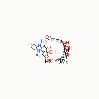 CO[C@H]1/C=C/O[C@@H](C)Oc2c(C)c(O)c3c(=O)c(c4n(C)c5cc(C)ccc5nc-4c3c2C(C)=O)NC(=O)/C(C)=C\C=C\[C@H](C)[C@H](O)[C@@H](C)[C@@H](O)[C@@H](C)[C@H](O)[C@@H]1C